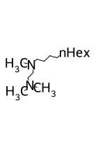 CCCCCCCCCCN(C)CCN(C)C